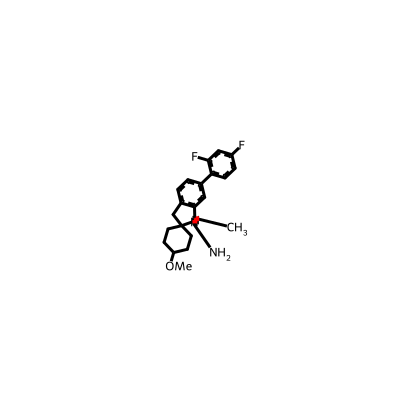 COC1CCC2(CC1)Cc1ccc(-c3ccc(F)cc3F)cc1C21N=C(C)C(N)=N1